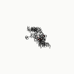 C=C1C[C@H](CCC2OCCO2)O[C@H]1CC[C@H]1C[C@H](C)C(=C)[C@@H](C[C@@H]2O[C@H](C[C@@H](CO[Si](C)(C)C(C)(C)C)O[Si](C)(C)C(C)(C)C)[C@H](OC)[C@H]2CSC(c2cc(CC)ccc2[SH](=O)=O)[C@H]2CC[C@@H]3O[C@@H](C(/C=C/I)O[Si](C)(C)C(C)(C)C)C(O[Si](C)(C)C(C)(C)C)C(O[Si](C)(C)C(C)(C)C)[C@H]3O2)O1